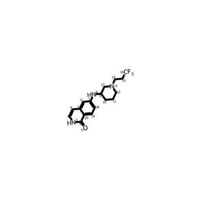 O=c1[nH]ccc2cc(NC3CCCN(CCC(F)(F)F)C3)ccc12